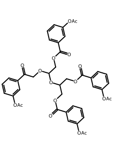 CC(=O)Oc1cccc(C(=O)COC(COC(=O)c2cccc(OC(C)=O)c2)OC(COC(=O)c2cccc(OC(C)=O)c2)COC(=O)c2cccc(OC(C)=O)c2)c1